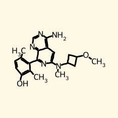 COC1CC(N(C)c2cc3c(N)ncnc3c(-c3c(C)ccc(O)c3C)n2)C1